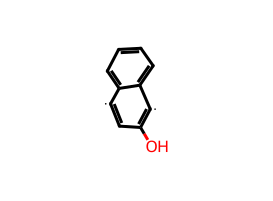 Oc1[c]c2ccccc2[c]c1